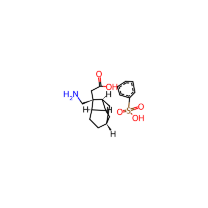 NC[C@]1(CC(=O)O)[C@@H]2CC[C@H]3C[C@@H]2[C@@H]1C3.O=S(=O)(O)c1ccccc1